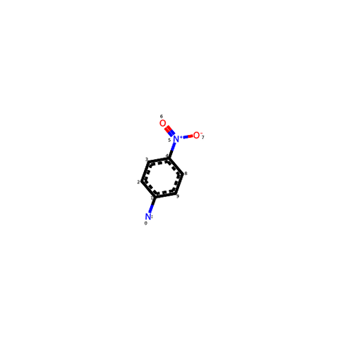 [N]c1ccc([N+](=O)[O-])cc1